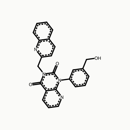 O=c1c2cccnc2n(-c2cccc(CO)c2)c(=O)n1Cc1ccc2ccccc2n1